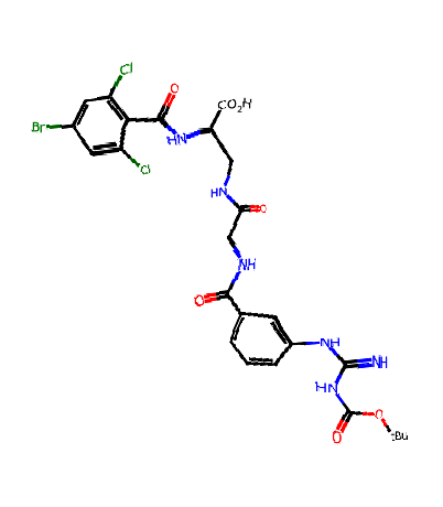 CC(C)(C)OC(=O)NC(=N)Nc1cccc(C(=O)NCC(=O)NCC(NC(=O)c2c(Cl)cc(Br)cc2Cl)C(=O)O)c1